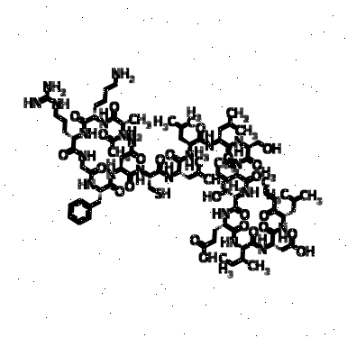 CCCC(=O)[C@H](CC(C)C)NC(=O)[C@H](CC(=O)O)NC(=O)[C@@H](NC(=O)[C@H](CCC(=O)O)NC(=O)[C@H](CO)NC(=O)[C@@H](NC(=O)[C@H](CO)NC(=O)[C@H](CC(C)C)NC(=O)[C@H](CC(C)C)NC(=O)[C@H](CC(C)C)NC(=O)[C@H](CS)NC(=O)[C@H](CC(N)=O)NC(=O)[C@H](Cc1ccccc1)NC(=O)CNC(=O)[C@H](CCCNC(=N)N)NC(=O)[C@H](CCCCN)NC(=O)[C@H](C)NC(C)=O)[C@@H](C)CC)[C@@H](C)CC